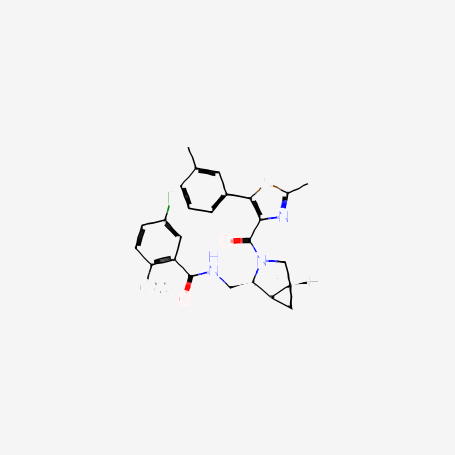 COc1ccc(F)cc1C(=O)NC[C@@H]1C2C[C@H]2CN1C(=O)c1nc(C)sc1-c1cccc(C)c1